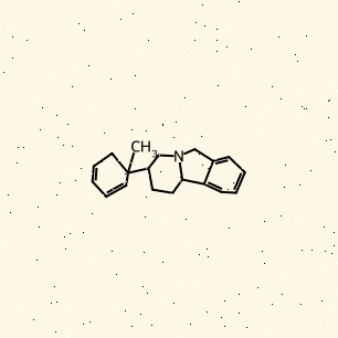 CC1(C2CCC3c4ccccc4CN3C2)C=CC=CC1